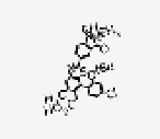 Cc1cc2nc(-c3ccc4c(c3)c(=O)n(C)n4C)sc2c(-c2ccc(Cl)cc2OC(C)(C)C)c1CC(=O)O